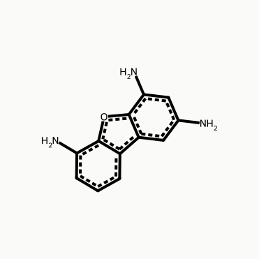 Nc1cc(N)c2oc3c(N)cccc3c2c1